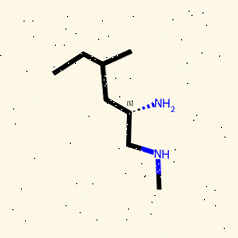 CCC(C)C[C@H](N)CNC